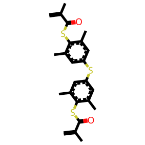 C=C(C)C(=O)Sc1c(C)cc(Sc2cc(C)c(SC(=O)C(=C)C)c(C)c2)cc1C